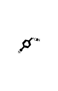 N#Cc1ccc(C[14C]#N)cc1